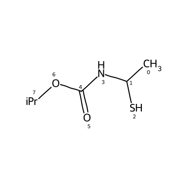 CC(S)NC(=O)OC(C)C